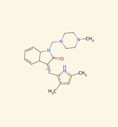 Cc1cc(C)c(/C=C2\C(=O)N(CN3CCN(C)CC3)C3C=CC=CC23)[nH]1